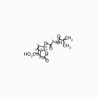 C=C(C)C(=O)NCC(=O)OC1C2CC3C1OC(=O)C3C2C(=O)O